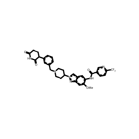 COc1cc2nn(C3CCN(Cc4cccc(C5CCC(=O)NC5=O)c4)CC3)cc2cc1NC(=O)c1ccc(C(F)(F)F)nc1